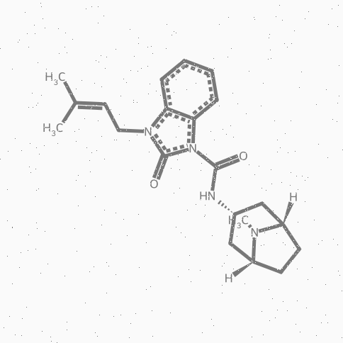 CC(C)=CCn1c(=O)n(C(=O)N[C@H]2C[C@H]3CC[C@@H](C2)N3C)c2ccccc21